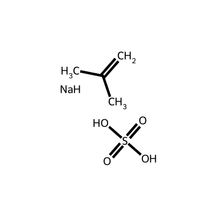 C=C(C)C.O=S(=O)(O)O.[NaH]